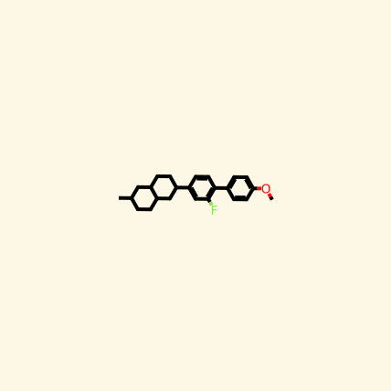 COc1ccc(-c2ccc(C3CCC4CC(C)CCC4C3)cc2F)cc1